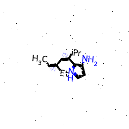 C/C=C(\C=C(/c1[nH]ccc1N)C(C)C)CC